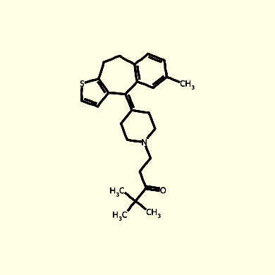 Cc1ccc2c(c1)C(=C1CCN(CCC(=O)C(C)(C)C)CC1)c1ccsc1CC2